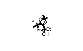 CCC(C)(O)C1OC(C)(C)OC1C(C)(CC)CC